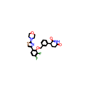 O=C1CCC(c2cccc(COc3c(-c4csc(N5CCOCC5)n4)ccc(F)c3F)c2)C(=O)N1